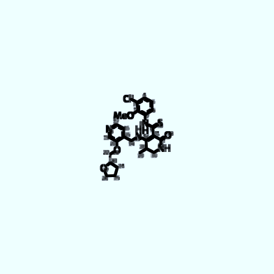 COc1c(Cl)cccc1NC(=S)C1=C(NCc2ccncc2OC[C@@H]2CCCO2)C(C)CNC1=O